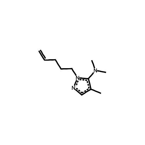 C=CCCCn1ncc(C)c1N(C)C